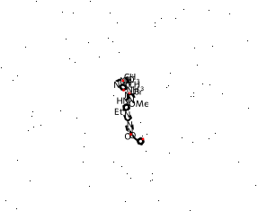 CCc1cc(Nc2ncc(Br)c(Nc3ccc4nccnc4c3N(C)S(C)(=O)=O)n2)c(OC)cc1N1CCC(N2CCN(C(=O)OCc3ccccc3)CC2)CC1